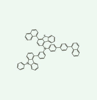 c1ccc(-n2c3ccccc3c3c(-c4cccc(N(c5ccc(-c6ccc(-c7cccc8ccccc78)cc6)cc5)c5ccc(-c6cccc7ccccc67)c6sc7ccccc7c56)c4)cccc32)cc1